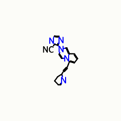 N#Cc1nccnc1N1C=CN2C(C#CC3CCCC=N3)=CC=CC2=C1